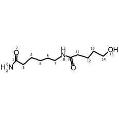 NC(=O)CCCCCNC(=O)CCCCO